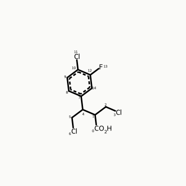 O=C(O)C(CCl)C(CCl)c1ccc(Cl)c(F)c1